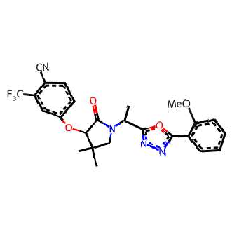 COc1ccccc1-c1nnc(C(C)N2CC(C)(C)C(Oc3ccc(C#N)c(C(F)(F)F)c3)C2=O)o1